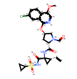 C=C[C@@H]1C[C@]1(NC(=O)[C@@H]1C[C@@H](Oc2ncc(OC)c3ccc(Cl)cc23)CN1C=O)C(=O)NS(=O)(=O)C1CC1